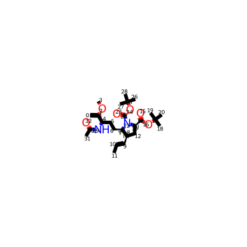 C=C(OC)C(CC[C@@H]1[C@H](C=CC)C[C@H](C(=O)OC(C)(C)C)N1C(=O)OC(C)(C)C)NC(C)=O